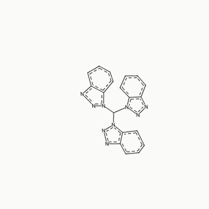 c1ccc2c(c1)nnn2C(n1nnc2ccccc21)n1nnc2ccccc21